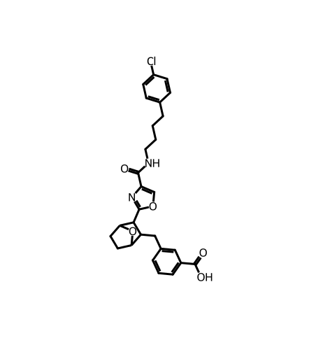 O=C(O)c1cccc(CC2C3CCC(O3)C2c2nc(C(=O)NCCCCc3ccc(Cl)cc3)co2)c1